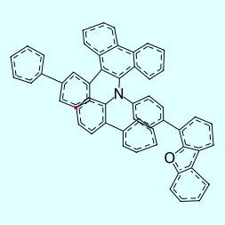 c1ccc(-c2cccc(-c3c(N(c4ccc(-c5cccc6c5oc5ccccc56)cc4)c4ccccc4-c4ccccc4)c4ccccc4c4ccccc34)c2)cc1